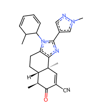 CC1C=CC=CC1n1c(-c2cnn(C)c2)nc2c1CC[C@H]1[C@H](C)C(=O)C(C#N)=C[C@]21C